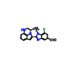 CC(C)C1CNc2cccc3cc(-c4nc5cc(C=O)cc(F)c5n4C)n1c23